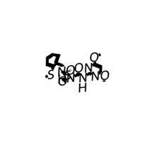 COc1cc(OC)nc(NC(=O)NS(=O)(=O)N=Cc2ccccc2SC)n1